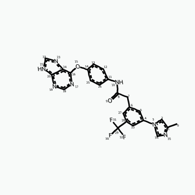 Cc1cn(-c2cc(CC(=O)Nc3ccc(Oc4ncnc5[nH]cnc45)cc3)cc(C(F)(F)F)c2)cn1